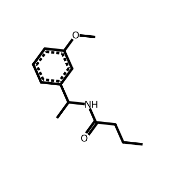 CCCC(=O)NC(C)c1cccc(OC)c1